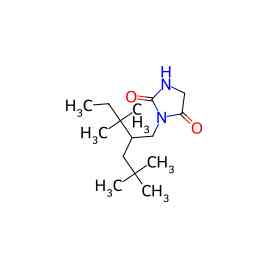 CCC(C)(C)C(CN1C(=O)CNC1=O)CC(C)(C)C